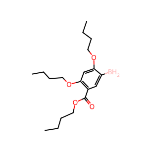 Bc1cc(C(=O)OCCCC)c(OCCCC)cc1OCCCC